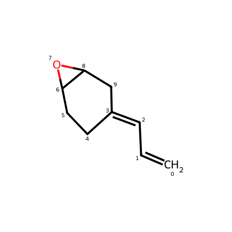 C=CC=C1CCC2OC2C1